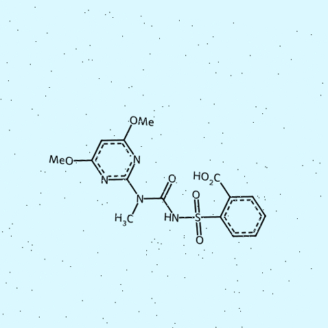 COc1cc(OC)nc(N(C)C(=O)NS(=O)(=O)c2ccccc2C(=O)O)n1